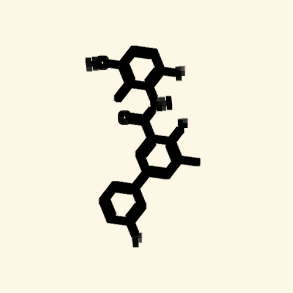 Cc1cc(-c2cccc(F)c2)cc(C(=O)Nc2c(F)ccc(O)c2C)c1F